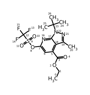 CCOC(=O)c1cc(OS(=O)(=O)C(F)(F)F)nc2c1c(C)nn2C(C)(C)C